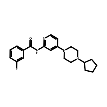 O=C(Nc1cc(N2CCN(C3CCCC3)CC2)ccn1)c1cccc(F)c1